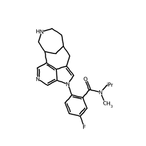 CC(C)N(C)C(=O)c1cc(F)ccc1-n1cc2c3c(cncc31)C1CNCCC(C2)C1